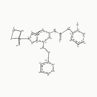 CC1(n2cc3cc(NC(=O)Cc4ccccc4Cl)cc(SCc4ccccc4)c3c2)COC1